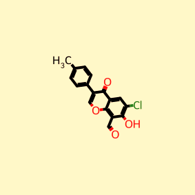 Cc1ccc(-c2coc3c(C=O)c(O)c(Cl)cc3c2=O)cc1